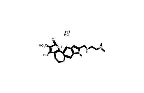 CN(C)CCNCc1cc2cc3c(cc2n1C)OCCc1c-3[nH]c(=O)c(C(=O)O)c1O.Cl.Cl